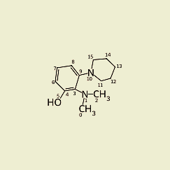 CN(C)c1c(O)cccc1N1CCCCC1